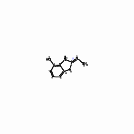 N/N=c1/[nH]c2c(O)cccc2s1